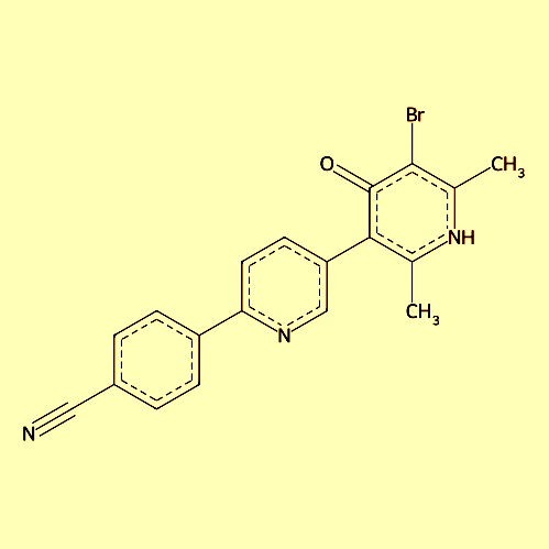 Cc1[nH]c(C)c(-c2ccc(-c3ccc(C#N)cc3)nc2)c(=O)c1Br